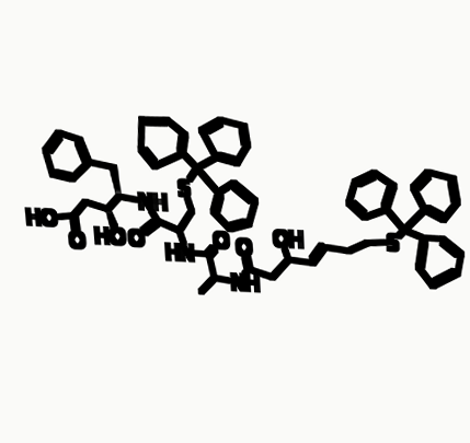 CC(NC(=O)CC(O)C=CCCSC(c1ccccc1)(c1ccccc1)c1ccccc1)C(=O)NC(CSC(c1ccccc1)(c1ccccc1)c1ccccc1)C(=O)N[C@H](Cc1ccccc1)[C@@H](O)CC(=O)O